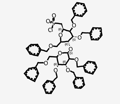 O=S(=O)(Cl)C[C@@H]1OC(COCc2ccccc2)[C@@H](O[C@@H]2OC(COCc3ccccc3)[C@@H](OCc3ccccc3)[C@@H](OCc3ccccc3)C2OCc2ccccc2)[C@@H](OCc2ccccc2)C1OCc1ccccc1